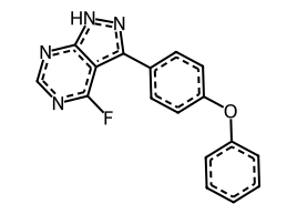 Fc1ncnc2[nH]nc(-c3ccc(Oc4ccccc4)cc3)c12